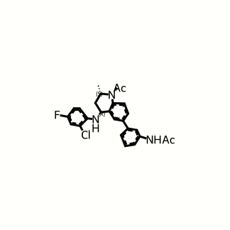 CC(=O)Nc1cccc(-c2ccc3c(c2)[C@H](Nc2ccc(F)cc2Cl)C[C@H](C)N3C(C)=O)c1